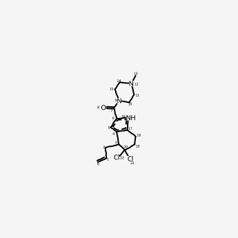 C=CCC1c2cc(C(=O)N3CCN(C)CC3)[nH]c2CCC1(Cl)Cl